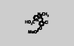 COCCOc1ccc(Cn2c(C)nc3ccc(C(=O)O)nc32)c(Cl)c1